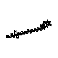 C=C1C=CC(=O)N1Cc1cn(CCOCCOCCOCCOCCC(=O)NCCC(C)(C)C)nn1